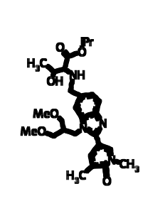 COCC(COC)Cn1c(-c2cc(C)c(=O)n(C)c2)nc2ccc(CNC(C(=O)OC(C)C)C(C)O)cc21